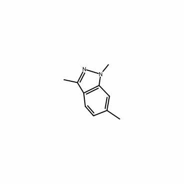 Cc1ccc2c(C)nn(C)c2c1